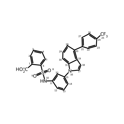 O=C(O)c1ccccc1S(=O)(=O)Nc1cccc(-n2ccc3c(-c4ccc(C(F)(F)F)cc4)cccc32)c1